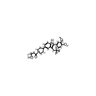 COc1ccc(-c2[nH]c3ccc(C4CCN(C(=O)C[C@@H](C)O)CC4)cc3c2CC(F)(F)F)cc1OC